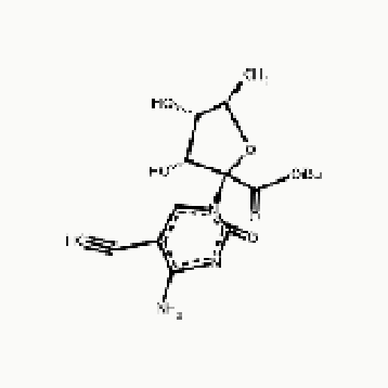 C#Cc1cn([C@]2(C(=O)OCC(C)C)O[C@H](C)[C@@H](O)[C@H]2O)c(=O)nc1N